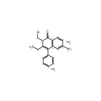 CC(C)Cn1c(CN)c(-c2ccccc2)c2cc(N)ccc2c1=O.Cl.Cl